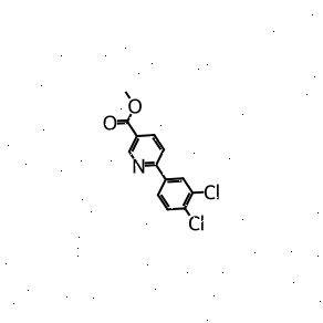 COC(=O)c1ccc(-c2ccc(Cl)c(Cl)c2)nc1